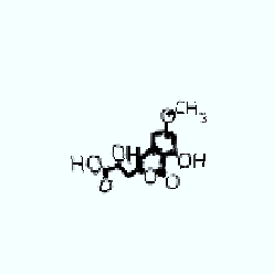 COc1cc(O)c2c(=O)oc(C[C@@H](O)C(=O)O)cc2c1